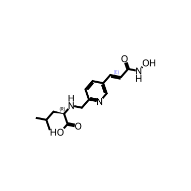 CC(C)C[C@@H](NCc1ccc(/C=C/C(=O)NO)cn1)C(=O)O